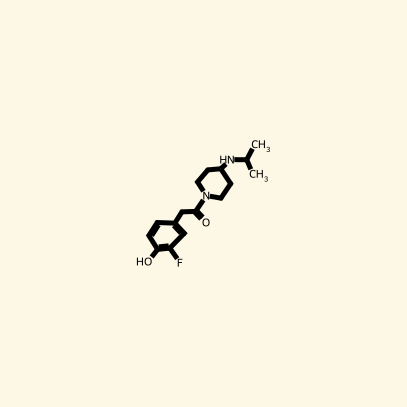 CC(C)NC1CCN(C(=O)Cc2ccc(O)c(F)c2)CC1